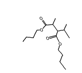 CCCCOC(=O)C(C)C(C(=O)OCCCC)C(C)C